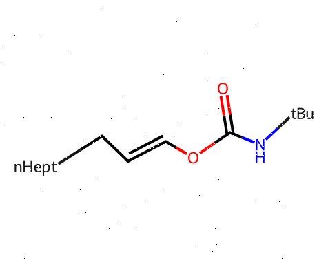 CCCCCCCCC=COC(=O)NC(C)(C)C